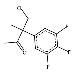 CC(=O)C(C)(CCl)c1cc(F)c(F)c(F)c1